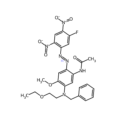 CCOCCN(Cc1ccccc1)c1cc(NC(C)=O)c(/N=N/c2cc(F)c([N+](=O)[O-])cc2[N+](=O)[O-])cc1OC